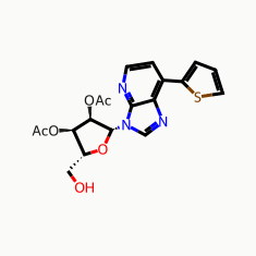 CC(=O)O[C@@H]1[C@H](OC(C)=O)[C@@H](CO)O[C@H]1n1cnc2c(-c3cccs3)ccnc21